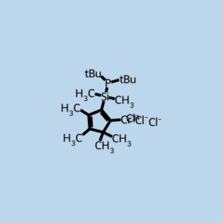 CC1=C(C)C(C)(C)[C]([Cr+3])=C1[Si](C)(C)P(C(C)(C)C)C(C)(C)C.[Cl-].[Cl-].[Cl-]